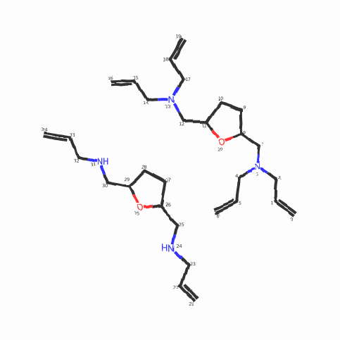 C=CCN(CC=C)CC1CCC(CN(CC=C)CC=C)O1.C=CCNCC1CCC(CNCC=C)O1